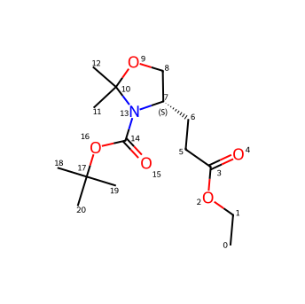 CCOC(=O)CC[C@H]1COC(C)(C)N1C(=O)OC(C)(C)C